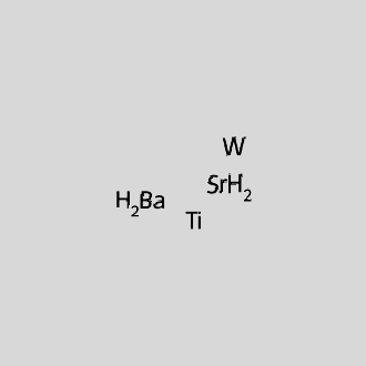 [BaH2].[SrH2].[Ti].[W]